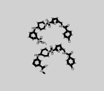 COC(=O)c1cccc(NC2CCN(S(=O)(=O)c3ccc(CNC(=O)c4ccc(Cl)cc4)o3)CC2)c1.NS(=O)(=O)c1cccc(NC2CCN(S(=O)(=O)c3ccc(CNC(=O)c4ccc(Cl)cc4)o3)CC2)c1